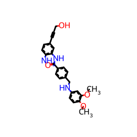 COc1ccc(NCc2ccc(C(=O)Nc3cc(C#CCO)ccc3N)cc2)cc1OC